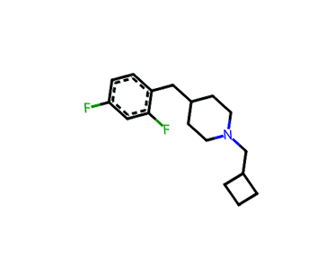 Fc1ccc(CC2CCN(CC3CCC3)CC2)c(F)c1